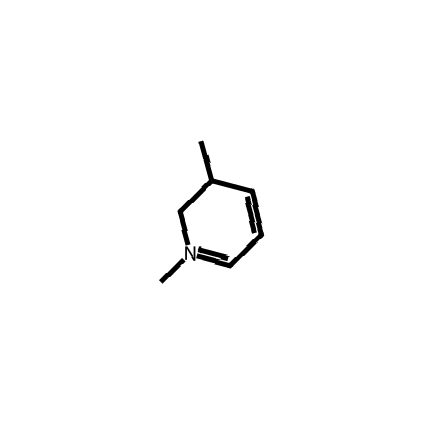 CC1C=CC=[N+](C)C1